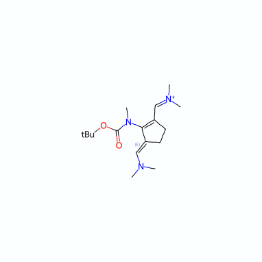 CN(C)/C=C1\CCC(C=[N+](C)C)=C1N(C)C(=O)OC(C)(C)C